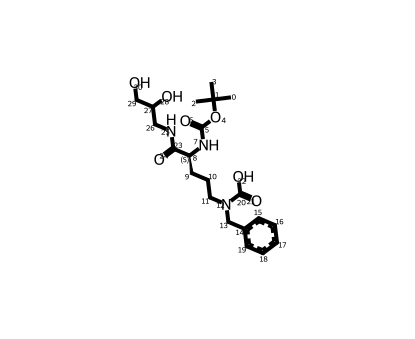 CC(C)(C)OC(=O)N[C@@H](CCCN(Cc1ccccc1)C(=O)O)C(=O)NCC(O)CO